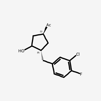 CC(=O)[C@@H]1CC(O)[C@@H](Cc2ccc(F)c(Cl)c2)C1